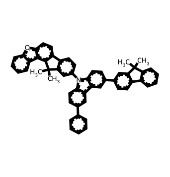 CC1(C)c2ccccc2-c2ccc(-c3ccc4c(c3)c3cc(-c5ccccc5)ccc3n4-c3ccc4c(c3)C(C)(C)c3c-4ccc4oc5ccccc5c34)cc21